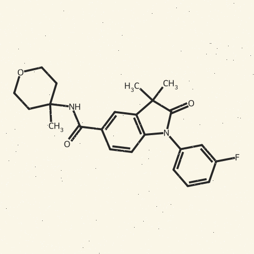 CC1(NC(=O)c2ccc3c(c2)C(C)(C)C(=O)N3c2cccc(F)c2)CCOCC1